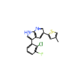 Cc1csc(-c2cnc3[nH]cc(-c4cccc(F)c4Cl)c3c2)c1